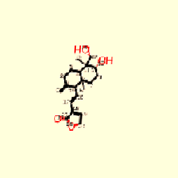 C=C1CCC2[C@](C)(CC[C@@H](O)[C@@]2(C)CO)C1/C=C/C1=CCOC1=O